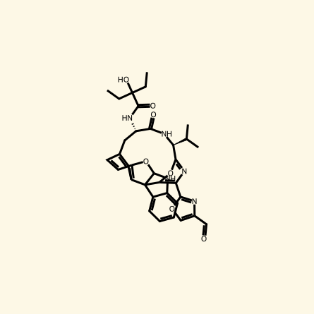 CCC(O)(CC)C(=O)N[C@H]1Cc2ccc3c(c2)C2(c4ccccc4NC2O3)c2oc(nc2-c2nc(C=O)co2)[C@H](C(C)C)NC1=O